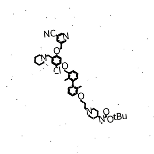 Cc1c(COc2cc(OCc3cncc(C#N)c3)c(CN3CCCC[C@H]3C)cc2Cl)cccc1-c1cccc(OCCCN2CCC(N(C)C(=O)OC(C)(C)C)CC2)c1C